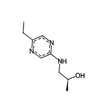 CCc1cnc(NC[C@H](C)O)cn1